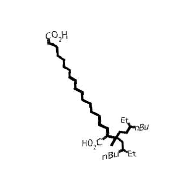 CCCCC(CC)CCC(C)(CC(CC)CCCC)C(CCCCCCCCCCCCCCCCC(=O)O)C(=O)O